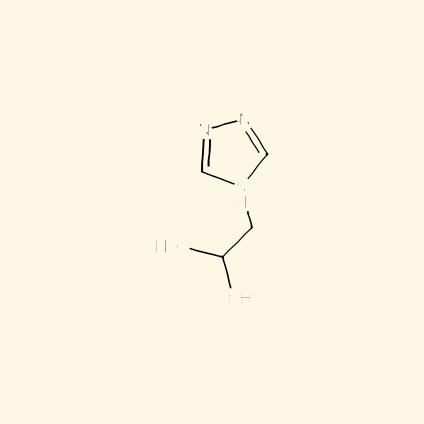 CC(C)C[SH]1C=NN=C1